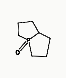 O=P12CCCC1CCC2